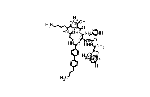 CCCCc1ccc(-c2ccc(C(=O)NCCC(=O)N[C@@H](CCCCN)C(=O)N[C@H](C(=O)N[C@@H](N)C(=O)N[C@@H](Cc3c[nH]cn3)C(=O)N[C@@H](N)B3OC4C[C@@H]5C[C@@H](C5(C)C)[C@]4(C)O3)[C@@H](C)O)cc2)cc1